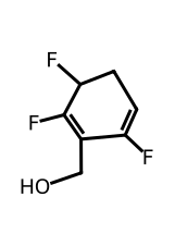 OCC1=C(F)C(F)CC=C1F